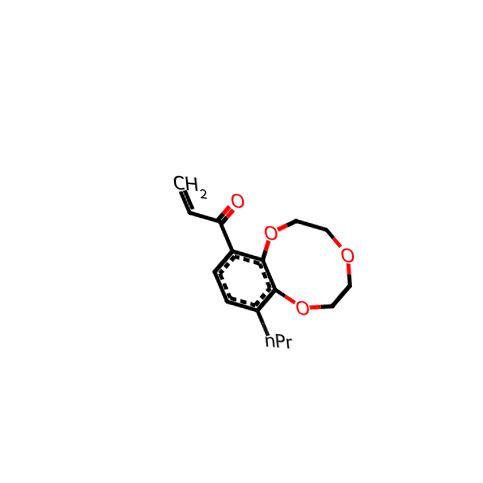 C=CC(=O)c1ccc(CCC)c2c1OCCOCCO2